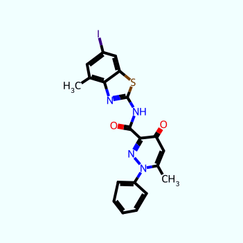 Cc1cc(I)cc2sc(NC(=O)c3nn(-c4ccccc4)c(C)cc3=O)nc12